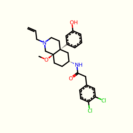 C=CCN1CC[C@@]2(c3cccc(O)c3)C[C@H](NC(=O)Cc3ccc(Cl)c(Cl)c3)CC[C@]2(OC)C1